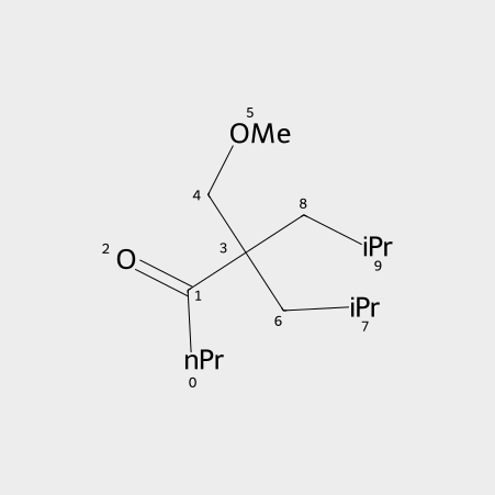 CCCC(=O)C(COC)(CC(C)C)CC(C)C